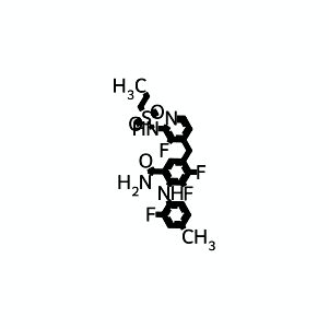 CCCS(=O)(=O)Nc1nccc(Cc2cc(C(N)=O)c(Nc3ccc(C)cc3F)c(F)c2F)c1F